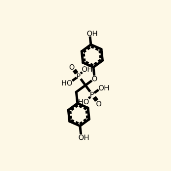 O=P(O)(O)C(Cc1ccc(O)cc1)(Oc1ccc(O)cc1)P(=O)(O)O